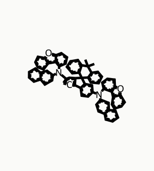 CC1(C)c2ccccc2C2(c3cc(N(c4ccc5ccccc5c4)c4cccc5oc6ccccc6c45)ccc3-c3ccc(N(c4ccc5ccccc5c4)c4cccc5oc6ccccc6c45)cc32)c2ccccc21